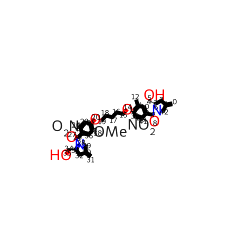 C=C1C[C@@H](CO)N(C(=O)c2cc(C)c(OCCCCCOc3cc([N+](=O)[O-])c(C(=O)N4CC(=C)C[C@H]4CO)cc3OC)cc2[N+](=O)[O-])C1